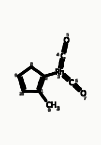 CC1=[C]([Rh](=[C]=O)=[C]=O)CC=C1